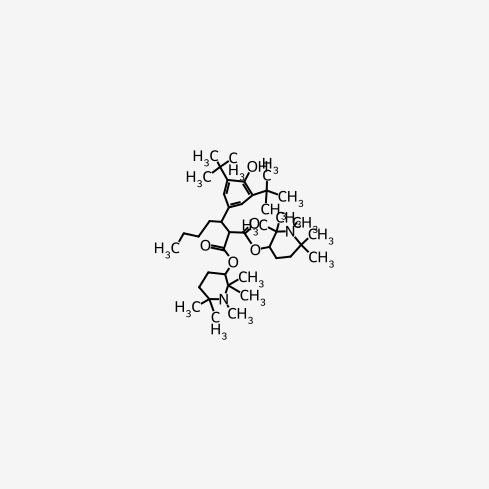 CCCCC(c1cc(C(C)(C)C)c(O)c(C(C)(C)C)c1)C(C(=O)OC1CCC(C)(C)N(C)C1(C)C)C(=O)OC1CCC(C)(C)N(C)C1(C)C